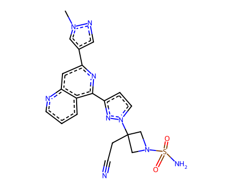 Cn1cc(-c2cc3ncccc3c(-c3ccn(C4(CC#N)CN(S(N)(=O)=O)C4)n3)n2)cn1